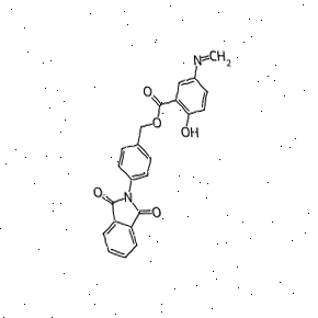 C=Nc1ccc(O)c(C(=O)OCc2ccc(N3C(=O)c4ccccc4C3=O)cc2)c1